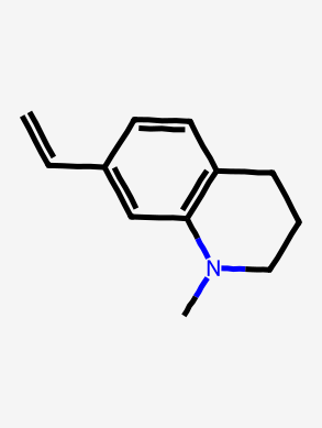 C=Cc1ccc2c(c1)N(C)CCC2